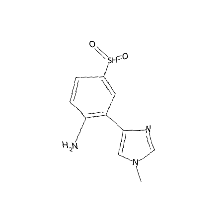 Cn1cnc(-c2cc([SH](=O)=O)ccc2N)c1